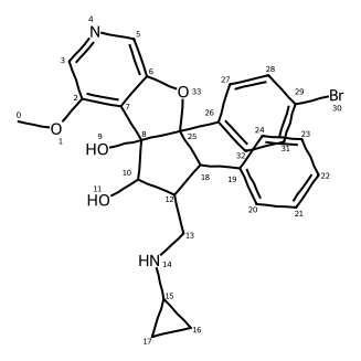 COc1cncc2c1C1(O)C(O)C(CNC3CC3)C(c3ccccc3)C1(c1ccc(Br)cc1)O2